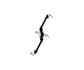 C=CC(=O)CCCCCCCCCCCCOc1ccc(C(=C)Oc2ccc(OC(=O)c3ccc(OCCCCCCCCCCCOC(=O)C=C)cc3)c(C)c2)cc1